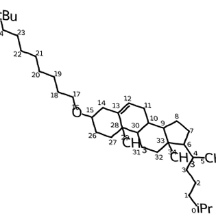 CC(C)CCCC(C)C1CCC2C3CC=C4CC(OCCCCCCCCC(C)(C)C)CCC4(C)C3CCC12C